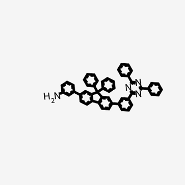 Nc1cccc(-c2ccc3c(c2)C(c2ccccc2)(c2ccccc2)c2cc(-c4cccc(-c5nc(-c6ccccc6)nc(-c6ccccc6)n5)c4)ccc2-3)c1